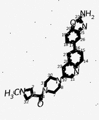 CN1CC(C(=O)N2CCN(c3cnc4ccc(-c5ccc6oc(N)nc6c5)cc4c3)CC2)C1